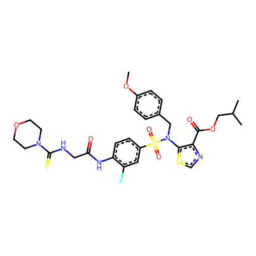 COc1ccc(CN(c2scnc2C(=O)OCC(C)C)S(=O)(=O)c2ccc(NC(=O)CNC(=S)N3CCOCC3)c(F)c2)cc1